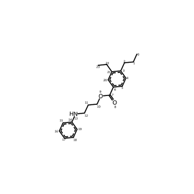 CCCc1ccc(C(=O)OCCCNc2ccccc2)cc1CC